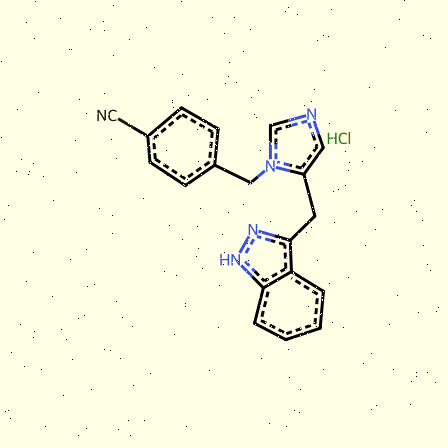 Cl.N#Cc1ccc(Cn2cncc2Cc2n[nH]c3ccccc23)cc1